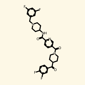 O=C(NC1CCN(Cc2cc(F)cc(F)c2)CC1)c1ccc(C(=O)N2CCC(C(=O)c3ccc(F)c(F)c3)CC2)cn1